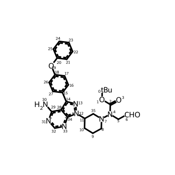 CC(C)(C)OC(=O)N(CC=O)N1CCCC(n2nc(-c3ccc(Oc4ccccc4)cc3)c3c(N)ncnc32)C1